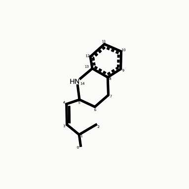 CC(C)/C=C\C1CCc2ccccc2N1